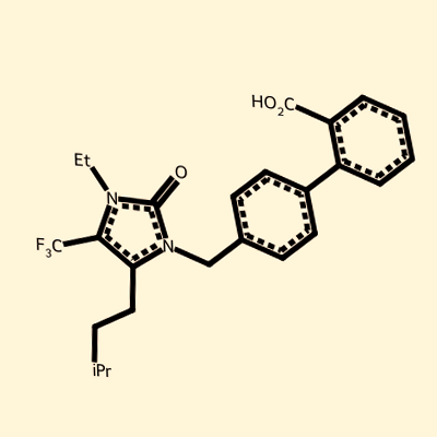 CCn1c(C(F)(F)F)c(CCC(C)C)n(Cc2ccc(-c3ccccc3C(=O)O)cc2)c1=O